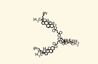 CC(C)CCC[C@H](C)C1CCC2C3CC=C4CC(OC(=O)CCC(=O)OC[C@H](COP(=O)(O)OCC[N+](C)(C)C)OC(=O)CCC(=O)OC5CCC6(C)C(=CCC7C6CCC6(C)C7CC[C@H]6[C@@H](C)CCCC(C)C)C5)CCC4(C)C3CCC21C